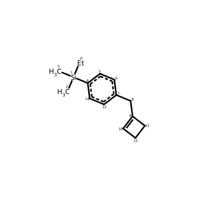 CC[Si](C)(C)c1ccc(CC2=CCC2)cc1